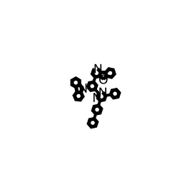 c1ccc(-c2ccc(-c3cc(-c4ccccc4)nc(-c4cc(-c5ccnc6c5oc5ccccc56)cc(-n5c6ccccc6c6ccccc65)c4)n3)cc2)cc1